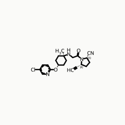 C#C[C@H]1CC[C@@H](C#N)N1C(=O)CN[C@]1(C)CC[C@@H](Oc2ccc(Cl)cn2)CC1